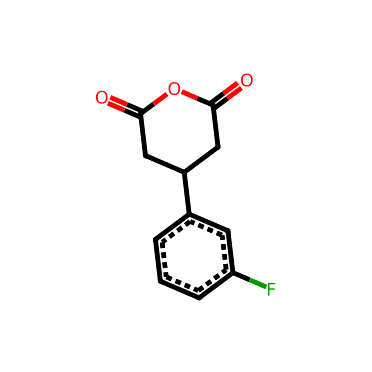 O=C1CC(c2cccc(F)c2)CC(=O)O1